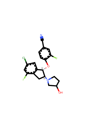 N#Cc1ccc(O[C@H]2c3cc(Cl)cc(F)c3C[C@@H]2N2CCC(O)C2)c(F)c1